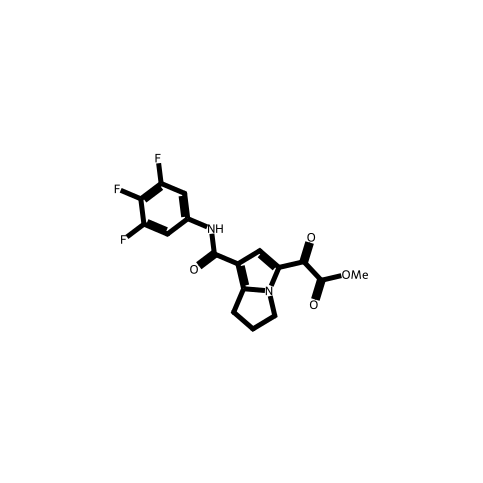 COC(=O)C(=O)c1cc(C(=O)Nc2cc(F)c(F)c(F)c2)c2n1CCC2